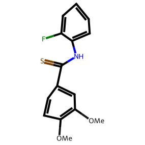 COc1ccc(C(=S)Nc2ccccc2F)cc1OC